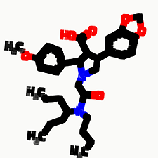 CCCCN(C(=O)CN1CC(c2ccc3c(c2)OCO3)C(C(=O)O)C1c1ccc(OC)cc1)C(CCC)CCC